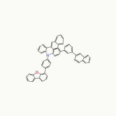 c1cc(-c2ccc(N(c3ccc(-c4cccc5c4oc4ccccc45)cc3)c3ccccc3-c3ccc4ccccc4c3)cc2)cc(-c2ccc3ccccc3c2)c1